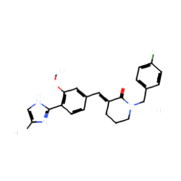 COc1cc(/C=C2\CCCN([C@@H](C)c3ccc(Cl)cc3)C2=O)ccc1-c1nc(C)c[nH]1